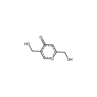 O=c1cc(CO)occ1CO